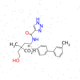 Cc1cccc(-c2ccc(C[C@H](CC(C)(CCO)C(=O)O)NC(=O)c3c[nH]nn3)cc2)c1